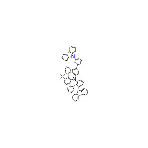 CC1(C)c2ccccc2-c2c(N(c3ccc(-c4cccc(-n5c6ccccc6c6ccccc65)c4)cc3)c3cccc4c3-c3ccccc3C43c4ccccc4-c4ccccc43)cccc21